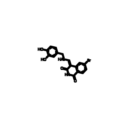 O=C1NC(=O)c2ccc(Br)cc2/C1=C/[AsH]Cc1ccc(O)c(O)c1